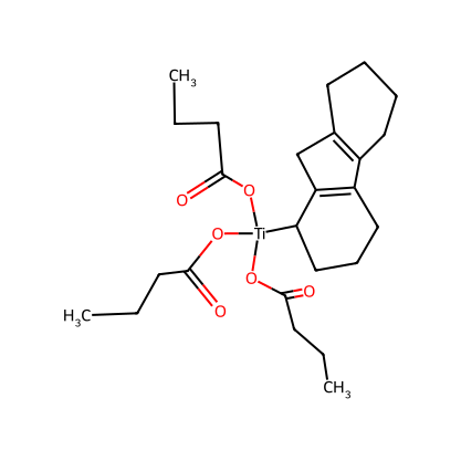 CCCC(=O)[O][Ti]([O]C(=O)CCC)([O]C(=O)CCC)[CH]1CCCC2=C1CC1=C2CCCC1